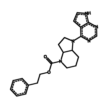 O=C(OCCc1ccccc1)N1CCCC2C1CCN2c1ncnc2[nH]ccc12